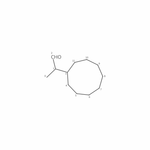 CC(C=O)C1CCCCCCCC1